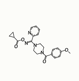 COc1ccc(C(=O)N2CCN(C(=NOC(=O)C3CC3)c3ccccn3)CC2)cc1